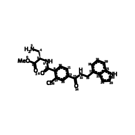 COC(=O)[C@H](CN)NC(=O)c1ccc(C(=O)NCc2cccc3[nH]ccc23)cc1Cl